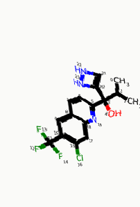 CC(C)C(O)(c1ccc2cc(C(F)(F)F)c(Cl)cc2n1)c1c[nH][nH]1